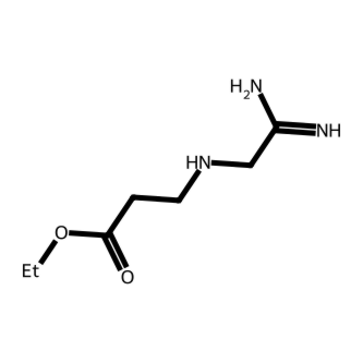 CCOC(=O)CCNCC(=N)N